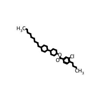 CCCCCCCCCC1CCC(C2CCC(OC(=O)c3ccc(CCCC)c(Cl)c3)CC2)CC1